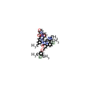 Cc1cc(N2CC(C)n3c(c(CCCOc4cc(C)c(Cl)c(C)c4)c4ccc(Cl)c(-c5c(C)nn(C)c5C)c43)C2=O)c2c(c1)cc(C(=O)O)n2Cc1cccc(N2CCOCC2)n1